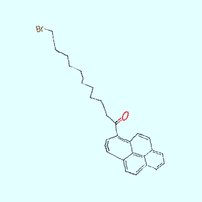 O=C(CCCCCCCCCCBr)c1ccc2ccc3cccc4ccc1c2c34